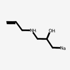 C=CCNCC(O)[CH2][Na]